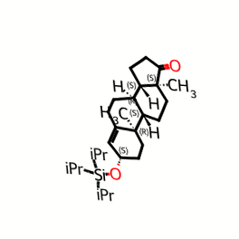 CC(C)[Si](O[C@@H]1C=C2CC[C@@H]3[C@H](CC[C@]4(C)C(=O)CC[C@@H]34)[C@@]2(C)CC1)(C(C)C)C(C)C